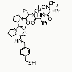 CC(C)C(C(=O)N[C@H](C(=O)N(C)C(C(=O)N1CCC[C@H]1C(=O)N1CCC[C@H]1C(=O)NCc1ccc(CS)cc1)C(C)C)C(C)C)N(C)C